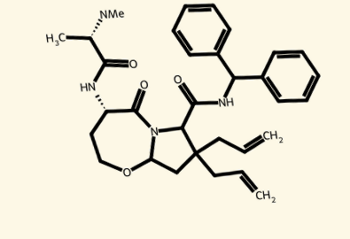 C=CCC1(CC=C)CC2OCC[C@H](NC(=O)[C@H](C)NC)C(=O)N2C1C(=O)NC(c1ccccc1)c1ccccc1